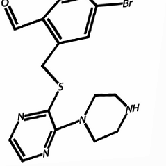 O=Cc1ccc(Br)cc1CSc1nccnc1N1CCNCC1